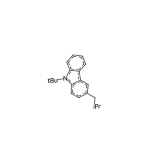 CC(C)Cc1ccc2c(c1)c1ccccc1n2C(C)(C)C